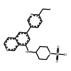 CCS(=O)(=O)N1CCC(Nc2cc(-c3ccc(CF)nc3)cc3ccncc23)CC1